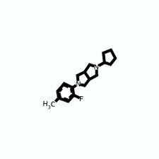 Cc1ccc(N2CC3CN(C4CCCC4)CC3C2)c(F)c1